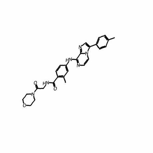 Cc1ccc(-c2cnc3c(Nc4ccc(C(=O)NCC(=O)N5CCOCC5)c(C)c4)nccn23)cc1